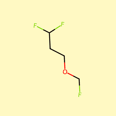 FCOCCC(F)F